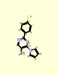 CC(C)c1cnc(-c2ccc(F)cc2)nc1-n1cccc1